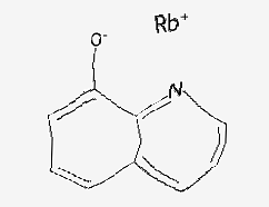 [O-]c1cccc2cccnc12.[Rb+]